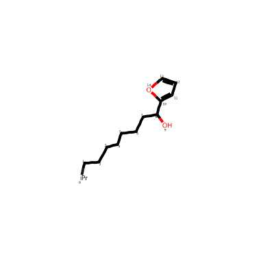 CC(C)CCCCCCCC(O)c1ccco1